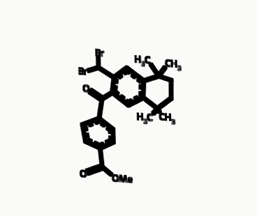 COC(=O)c1ccc(C(=O)c2cc3c(cc2C(Br)Br)C(C)(C)CCC3(C)C)cc1